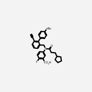 C#Cc1cccc(CN(C(=O)CCC2CCCC2)c2ccc(F)c(C(=O)O)c2)c1-c1ccc(CCCC)cc1